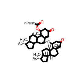 CC(=O)OC1CC(=O)C=C2CC[C@H]3[C@@H]4CC[C@H](C(C)=O)[C@@]4(C)CC[C@@H]3[C@]21C.CCCCCC(=O)OC1CC(=O)C=C2CCC3C(CC[C@@]4(C)C3CC[C@@H]4C(C)=O)[C@]21C